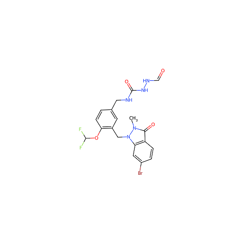 Cn1c(=O)c2ccc(Br)cc2n1Cc1cc(CNC(=O)NNC=O)ccc1OC(F)F